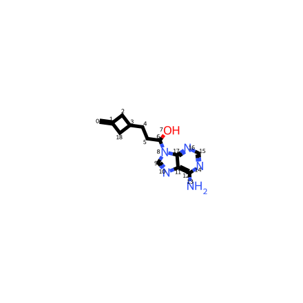 C=C1CC(CCC(O)n2cnc3c(N)ncnc32)C1